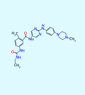 CCNC(=O)Nc1ccc(C)c(C(=O)Nc2cnc(Nc3ccc(N4CCN(C)CC4)cc3)nc2)c1